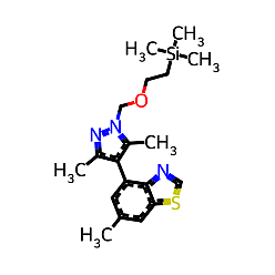 Cc1cc(-c2c(C)nn(COCC[Si](C)(C)C)c2C)c2ncsc2c1